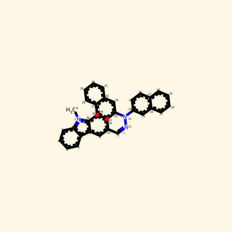 Cn1c2ccccc2c2cc(/C=N\N(c3ccc4ccccc4c3)c3ccc4ccccc4c3)ccc21